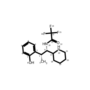 C[C@H](c1ccccc1O)[C@H](NC(=O)C(F)(F)F)C1CCCCN1